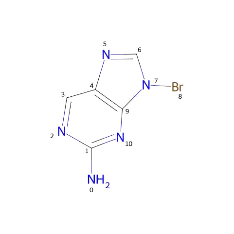 Nc1ncc2ncn(Br)c2n1